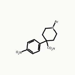 CC(=O)N1CCC(C(=O)O)(c2ccc([N+](=O)[O-])cc2)CC1